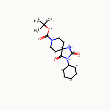 CC(C)(C)OC(=O)N1CCC2(CC1)NC(=O)N(C1CCCCC1)C2=O